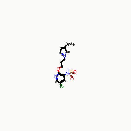 COC1CCN(CCCOc2ncc(Br)cc2N[SH](=O)=O)C1